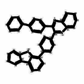 c1ccc(-c2ccc(-c3nc4ccccc4nc3-c3ccc(-c4cccc5c4sc4ccccc45)cc3)cc2)cc1